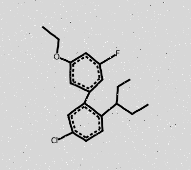 CCOc1cc(F)cc(-c2cc(Cl)ccc2C(CC)CC)c1